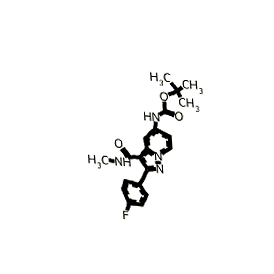 CNC(=O)c1c(-c2ccc(F)cc2)nn2ccc(NC(=O)OC(C)(C)C)cc12